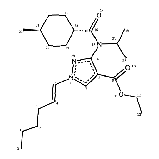 CCCC/C=C/n1cc(C(=O)OCC)c(N(C(=O)[C@H]2CC[C@H](C)CC2)C(C)C)n1